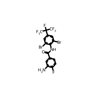 Nc1cc(C(=O)Nc2c(Br)cc(C(F)(C(F)(F)F)C(F)(F)F)cc2Br)ccc1F